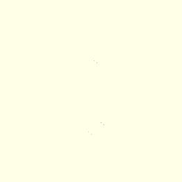 O=S1(=O)CCC(CC2CCS(=O)(=O)NN2)NN1